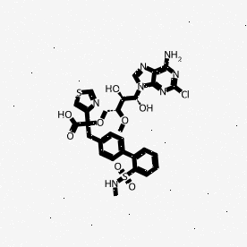 CNS(=O)(=O)c1ccccc1-c1ccc(CC(OC[C@@H](OC)[C@@H](O)[C@@H](O)n2cnc3c(N)nc(Cl)nc32)(C(=O)O)c2cscn2)cc1